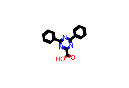 O=C(O)c1nc(-c2ccccc2)nc(-c2ccccc2)n1